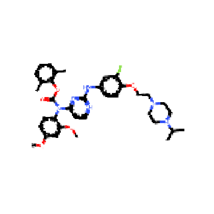 COc1ccc(N(C(=O)Oc2c(C)cccc2C)c2ccnc(Nc3ccc(OCCN4CCN(C(C)C)CC4)c(F)c3)n2)c(OC)c1